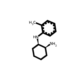 Cc1ccccc1N[C@@H]1CCCC[C@@H]1N